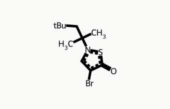 CC(C)(C)CC(C)(C)n1cc(Br)c(=O)s1